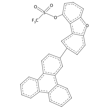 O=S(=O)(Oc1cccc2oc3ccc(-c4ccc5c6ccccc6c6ccccc6c5c4)cc3c12)C(F)(F)F